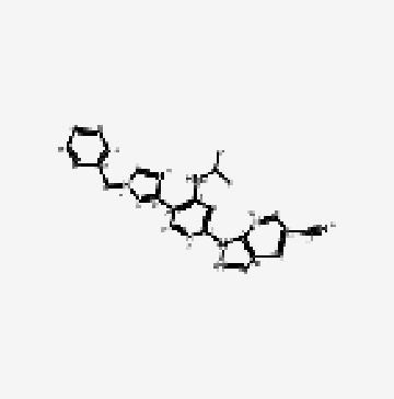 CC(C)Nc1cc(-n2ncc3cc(C#N)cnc32)ncc1-c1cn(Cc2ccccc2)cn1